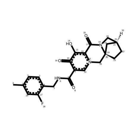 Cc1ccc(CNC(=O)c2cn3c(c(O)c2=O)C(=O)N2C[C@H]4CC[C@@]2(C4)C3)c(F)c1